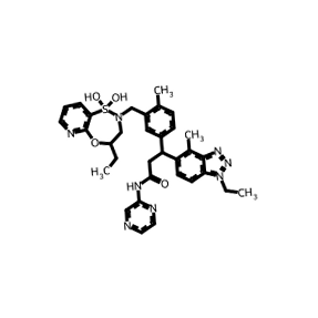 CCC1CN(Cc2cc(C(CC(=O)Nc3cnccn3)c3ccc4c(nnn4CC)c3C)ccc2C)S(O)(O)c2cccnc2O1